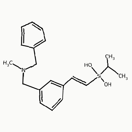 CC(C)[Si](O)(O)C=Cc1cccc(CN(C)Cc2ccccc2)c1